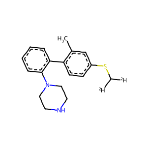 [2H]C([2H])Sc1ccc(-c2ccccc2N2CCNCC2)c(C)c1